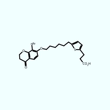 CCCc1c(OCCCCCCc2ccc(CCC(=O)O)s2)ccc2c1OCCC2=O